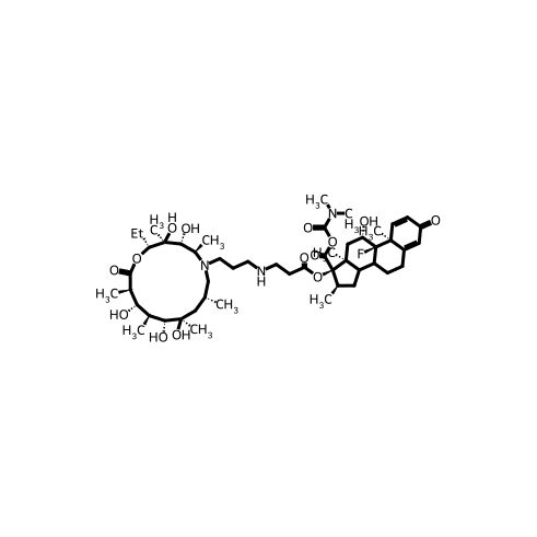 CC[C@H]1OC(=O)[C@H](C)[C@@H](O)[C@H](C)[C@@H](O)[C@](C)(O)C[C@@H](C)CN(CCCNCCC(=O)O[C@]2(C(=O)OC(=O)N(C)C)[C@H](C)CC3C4CCC5=CC(=O)C=C[C@]5(C)[C@@]4(F)[C@@H](O)C[C@@]32C)[C@H](C)[C@@H](O)[C@]1(C)O